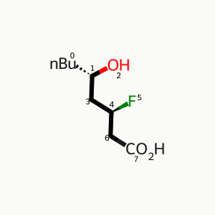 CCCC[C@H](O)C[C@@H](F)CC(=O)O